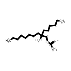 CCCCCCCCC(C)(CCCCCC)COC(C)=O